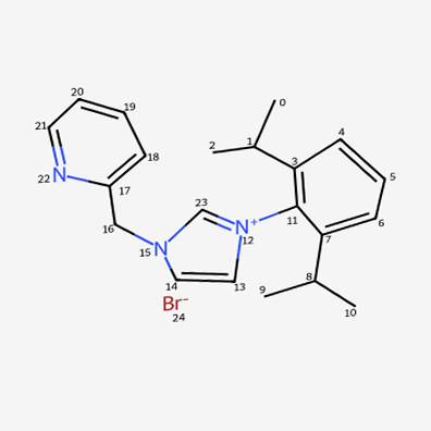 CC(C)c1cccc(C(C)C)c1-[n+]1ccn(Cc2ccccn2)c1.[Br-]